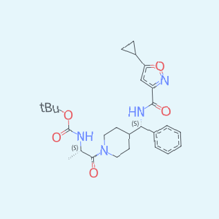 C[C@H](NC(=O)OC(C)(C)C)C(=O)N1CCC([C@H](NC(=O)c2cc(C3CC3)on2)c2ccccc2)CC1